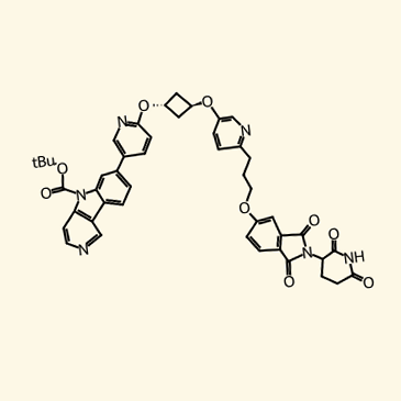 CC(C)(C)OC(=O)n1c2ccncc2c2ccc(-c3ccc(O[C@H]4C[C@H](Oc5ccc(CCCOc6ccc7c(c6)C(=O)N(C6CCC(=O)NC6=O)C7=O)nc5)C4)nc3)cc21